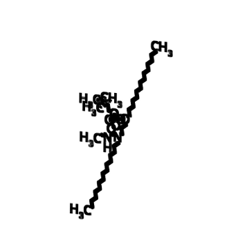 CCCCCCCCCCCCCCCCOCC(CN(CCCCCCCCCCCCCCCC)C(=O)NCC)OP(=O)([O-])OCC[N+](C)(C)C